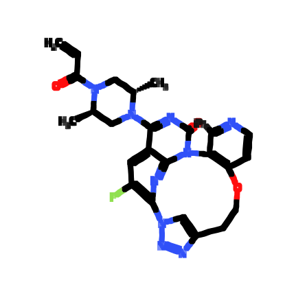 C=CC(=O)N1C[C@H](C)N(c2nc(=O)n3c4nc(c(F)cc24)-n2cc(nn2)CCOc2ccnc(C(C)C)c2-3)C[C@H]1C